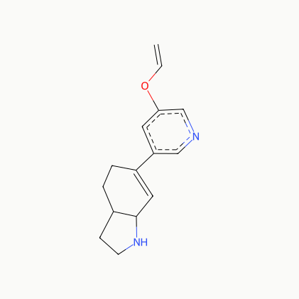 C=COc1cncc(C2=CC3NCCC3CC2)c1